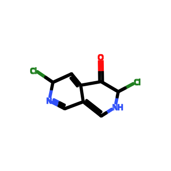 O=C1C2=CC(Cl)N=CC2=CNC1Cl